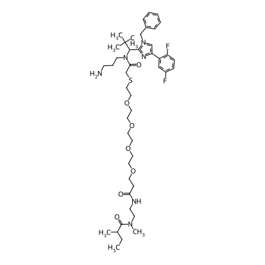 CCC(C)C(=O)N(C)CCNC(=O)CCOCCOCCOCCOCCSCC(=O)N(CCCN)C(c1nc(-c2cc(F)ccc2F)cn1Cc1ccccc1)C(C)(C)C